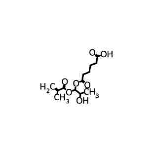 C=C(C)C(=O)OC(OC(=O)CCCCC(=O)O)C(C)O